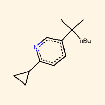 CCCCC(C)(C)c1ccc(C2CC2)nc1